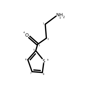 NCCC(=O)c1cccs1